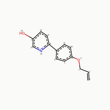 C=CCOc1ccc(-c2ccc(O)cn2)cc1